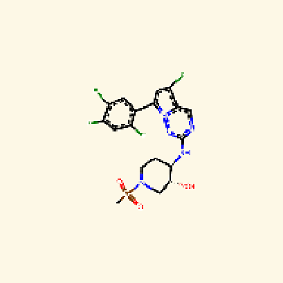 CS(=O)(=O)N1CC[C@@H](Nc2ncc3c(F)cc(-c4cc(F)c(F)cc4F)n3n2)[C@H](O)C1